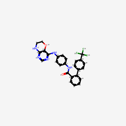 O=C(Nc1ccc(Nc2ncnc3c2OCCN3)cc1)c1ccccc1-c1ccc(C(F)(F)F)cc1